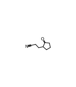 N#CCCC1CCCC1=O